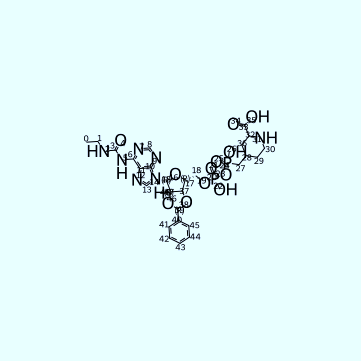 CCNC(=O)Nc1ncnc2c1ncn2[C@@H]1O[C@H](COP(=O)(O)OP(=O)(O)CC2CCNC(C(=O)O)C2)C2O[C@@H](c3ccccc3)O[C@@H]21